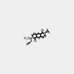 C[C@H](CC#N)n1nnc2cc3c(=O)n(C4CC4)nnc3cc2c1=O